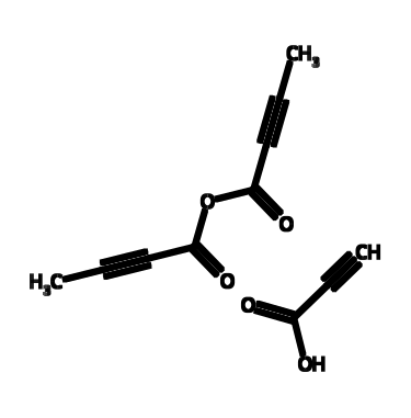 C#CC(=O)O.CC#CC(=O)OC(=O)C#CC